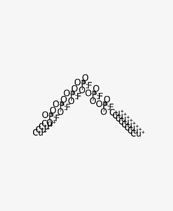 O=P([O-])([O-])F.O=P([O-])([O-])F.O=P([O-])([O-])F.O=P([O-])([O-])F.O=P([O-])([O-])F.O=P([O-])([O-])F.[Cu+].[Cu+].[Cu+].[Cu+].[Cu+].[Cu+].[Cu+].[Cu+].[Cu+].[Cu+].[Cu+].[Cu+]